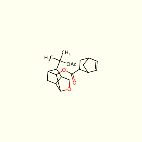 CC(=O)OC(C)(C)C1C2COC3C2CC1C3OC(=O)C1CC2C=CC1C2